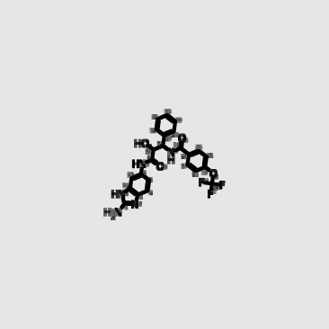 Nc1nc2ccc(NC(=O)C(O)C(NC(=O)c3ccc(OC(F)(F)F)cc3)c3ccccc3)cc2[nH]1